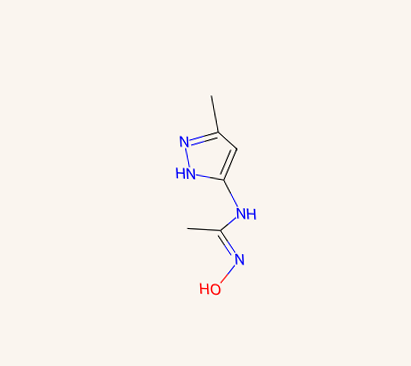 C/C(=N\O)Nc1cc(C)n[nH]1